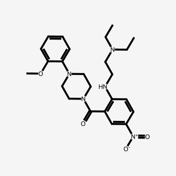 CCN(CC)CCNc1ccc([N+](=O)[O-])cc1C(=O)N1CCN(c2ccccc2OC)CC1